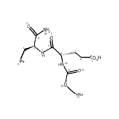 CC(C)C[C@H](NC(=O)[C@H](CCC(=O)O)NC(=O)OC(C)(C)C)C(N)=O